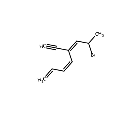 C#CC(/C=C\C=C)=C/C(C)Br